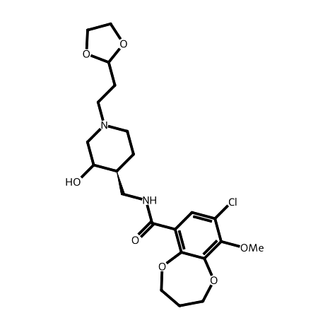 COc1c(Cl)cc(C(=O)NC[C@@H]2CCN(CCC3OCCO3)CC2O)c2c1OCCCO2